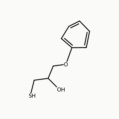 OC(CS)COc1ccccc1